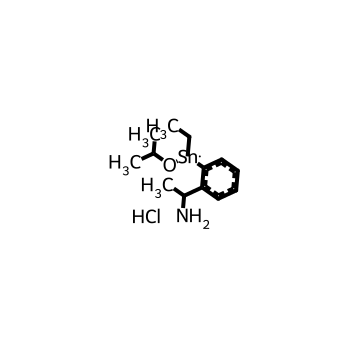 C[CH2][Sn]([O]C(C)C)[c]1ccccc1C(C)N.Cl